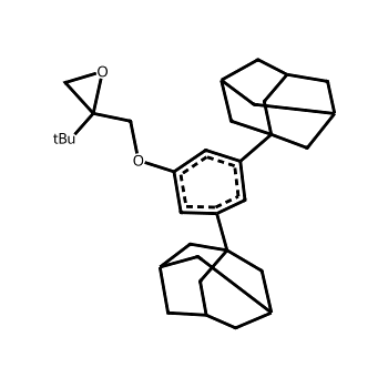 CC(C)(C)C1(COc2cc(C34CC5CC(CC(C5)C3)C4)cc(C34CC5CC(CC(C5)C3)C4)c2)CO1